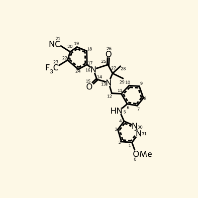 COc1ccc(Nc2ccccc2CN2C(=O)N(c3ccc(C#N)c(C(F)(F)F)c3)C(=O)C2(C)C)nn1